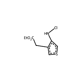 CCOC(=O)Cc1cscc1NCl